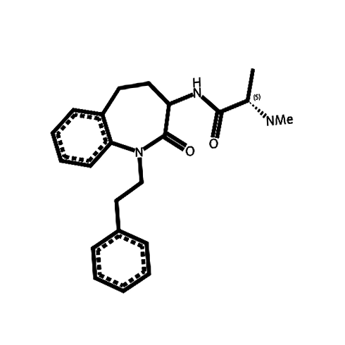 CN[C@@H](C)C(=O)NC1CCc2ccccc2N(CCc2ccccc2)C1=O